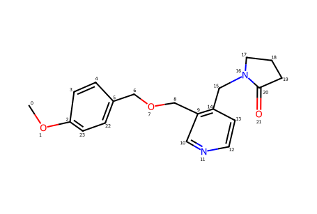 COc1ccc(COCc2cnccc2CN2CCCC2=O)cc1